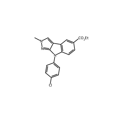 CCOC(=O)c1ccc2c(c1)c1cn(C)nc1n2-c1ccc(Cl)cc1